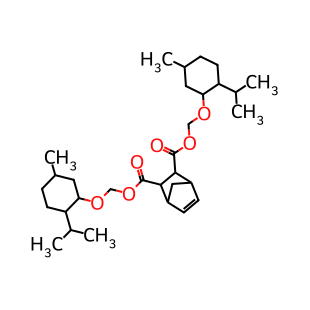 CC1CCC(C(C)C)C(OCOC(=O)C2C3C=CC(C3)C2C(=O)OCOC2CC(C)CCC2C(C)C)C1